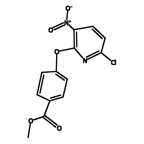 COC(=O)c1ccc(Oc2nc(Cl)ccc2[N+](=O)[O-])cc1